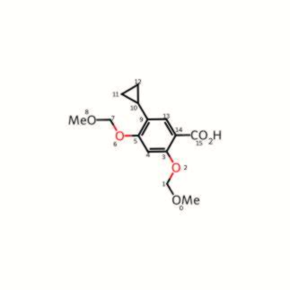 COCOc1cc(OCOC)c(C2CC2)cc1C(=O)O